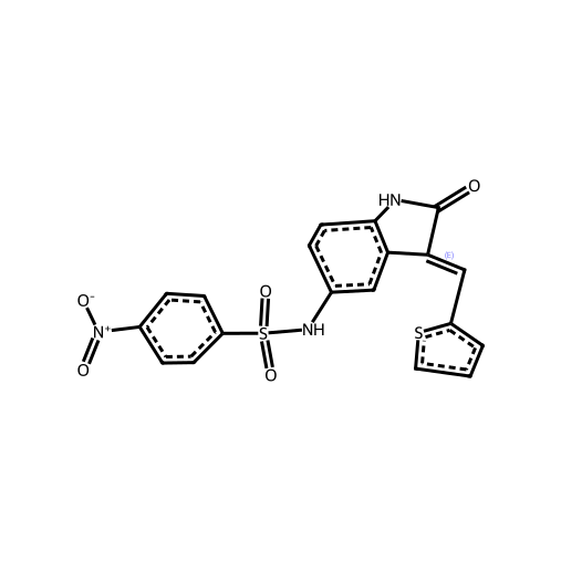 O=C1Nc2ccc(NS(=O)(=O)c3ccc([N+](=O)[O-])cc3)cc2/C1=C\c1cccs1